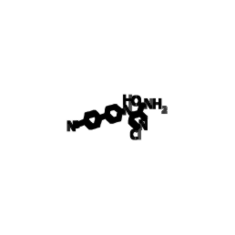 N#Cc1ccc(C2=CCC(Nc3cc(Cl)ncc3C(N)=O)CC2)cc1